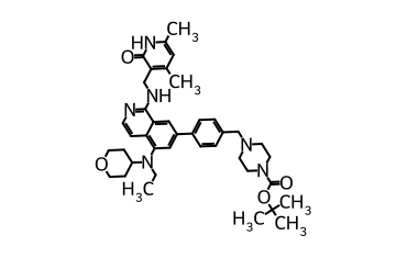 CCN(c1cc(-c2ccc(CN3CCN(C(=O)OC(C)(C)C)CC3)cc2)cc2c(NCc3c(C)cc(C)[nH]c3=O)nccc12)C1CCOCC1